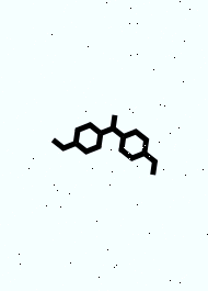 CCC1CCC(C(C)C2CCC(CC)CC2)CC1